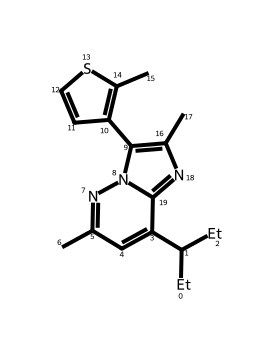 CCC(CC)c1cc(C)nn2c(-c3ccsc3C)c(C)nc12